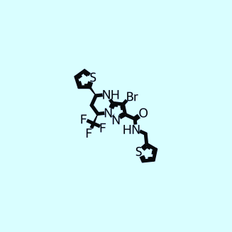 O=C(NCc1cccs1)c1nn2c(c1Br)N[C@H](c1cccs1)C[C@@H]2C(F)(F)F